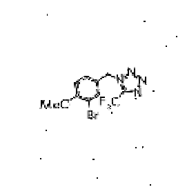 COc1ccc(Cn2nnnc2C(F)(F)F)cc1Br